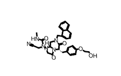 CNC(=O)N(CC#N)N1CC(=O)N2[C@@H](Cc3ccc(OCCO)cc3)C(=O)N(Cc3cccc4ccccc34)C[C@@H]21